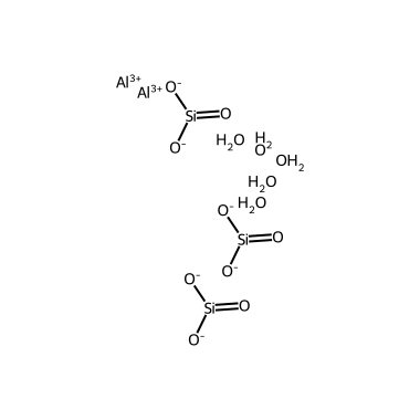 O.O.O.O.O.O=[Si]([O-])[O-].O=[Si]([O-])[O-].O=[Si]([O-])[O-].[Al+3].[Al+3]